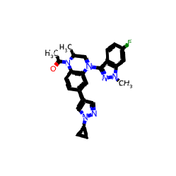 CC(=O)N1c2ccc(-c3cnn(C4CC4)c3)cc2N(c2nn(C)c3cc(F)ccc23)CC1C